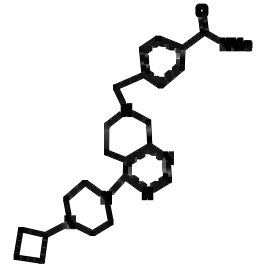 CNC(=O)c1ccc(CN2CCc3c(ncnc3N3CCN(C4CCC4)CC3)C2)cc1